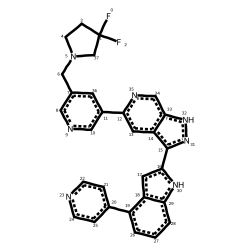 FC1(F)CCN(Cc2cncc(-c3cc4c(-c5cc6c(-c7ccncc7)cccc6[nH]5)n[nH]c4cn3)c2)C1